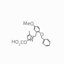 COc1ccc(OCc2ccccc2)c(Cn2nc(OC(=O)O)cc2C)c1